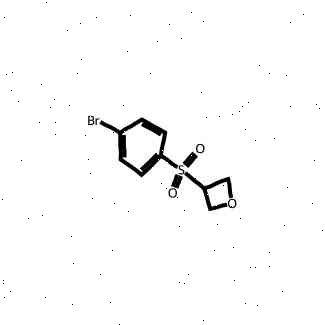 O=S(=O)(c1ccc(Br)cc1)C1COC1